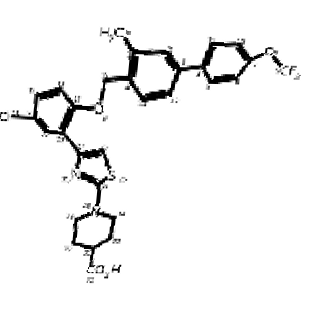 Cc1cc(-c2ccc(OC(F)(F)F)cc2)ccc1COc1ccc(Cl)cc1-c1csc(N2CCC(C(=O)O)CC2)n1